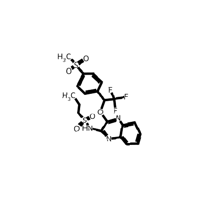 CCCS(=O)(=O)Nc1nc2ccccc2nc1OC(c1ccc(S(C)(=O)=O)cc1)C(F)(F)F